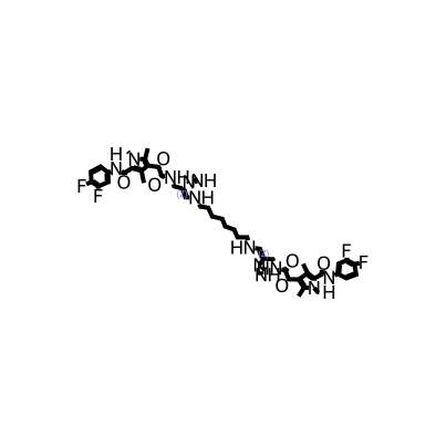 Cc1c(C(=O)C(=O)NC/C(=C/NCCCCCCCCN/C=C(/CNC(=O)C(=O)c2c(C)c(C(=O)Nc3ccc(F)c(F)c3)n(C)c2C)N=N)N=N)c(C)n(C)c1C(=O)Nc1ccc(F)c(F)c1